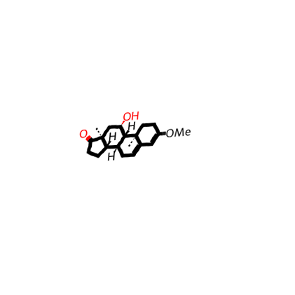 COC1=CC2=CC[C@@H]3[C@H]([C@@H](O)C[C@]4(C)C(=O)CC[C@@H]34)[C@@]2(C)CC1